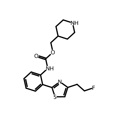 O=C(Nc1ccccc1-c1nc(CCF)cs1)OCC1CCNCC1